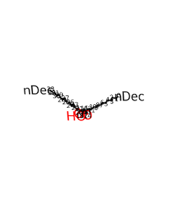 CCCCCCCCCCCCCCCCCCCCCCC(=O)C(C)(CO)C(=O)CCCCCCCCCCCCCCCCCCCCCC